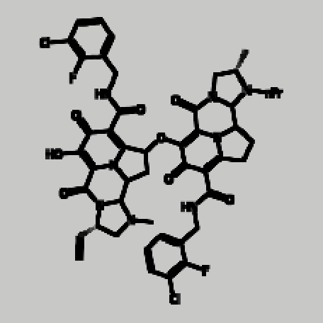 C=C[C@H]1CN(C)C2C3CC(Oc4c5n6c(c(C(=O)NCc7cccc(Cl)c7F)c4=O)CCC6C4N(C[C@H](C)N4CCC)C5=O)c4c(C(=O)NCc5cccc(Cl)c5F)c(=O)c(O)c(n43)C(=O)N21